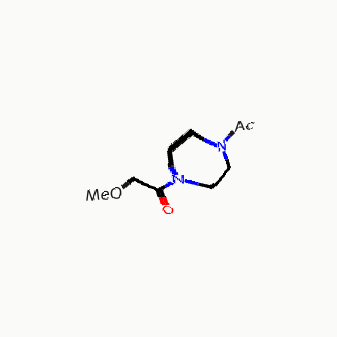 COCC(=O)N1CCN(C(C)=O)CC1